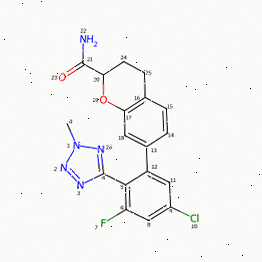 Cn1nnc(-c2c(F)cc(Cl)cc2-c2ccc3c(c2)OC(C(N)=O)C[CH]3)n1